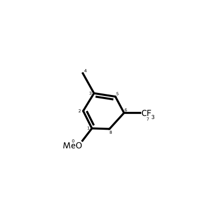 COC1=CC(C)=CC(C(F)(F)F)C1